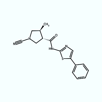 C[C@@H]1CN(C#N)C[C@H]1C(=O)Nc1ncc(-c2ccccc2)s1